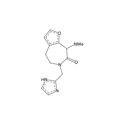 CNC1C(=O)N(Cc2ncc[nH]2)CCc2ccoc21